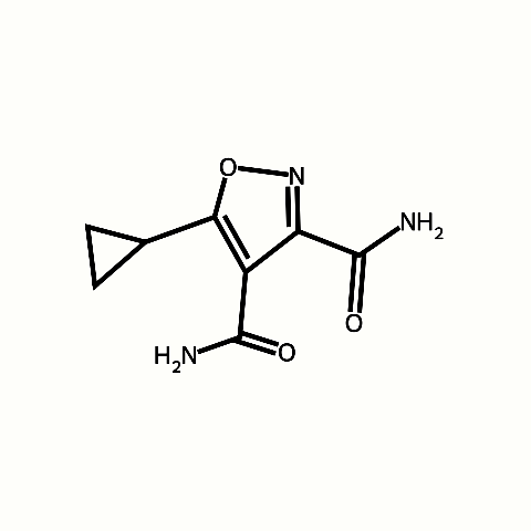 NC(=O)c1noc(C2CC2)c1C(N)=O